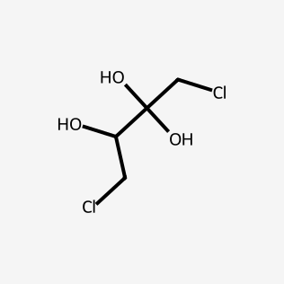 OC(CCl)C(O)(O)CCl